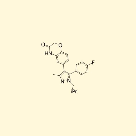 Cc1nn(CC(C)C)c(-c2ccc(F)cc2)c1-c1ccc2c(c1)NC(=O)CO2